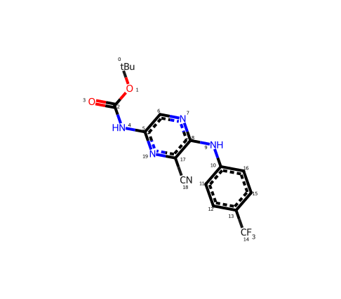 CC(C)(C)OC(=O)Nc1cnc(Nc2ccc(C(F)(F)F)cc2)c(C#N)n1